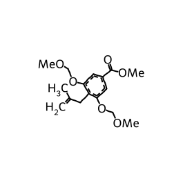 C=C(C)Cc1c(OCOC)cc(C(=O)OC)cc1OCOC